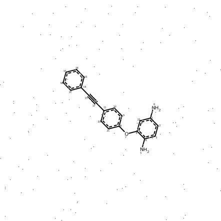 Nc1ccc(N)c(Oc2ccc(C#Cc3ccccc3)cc2)c1